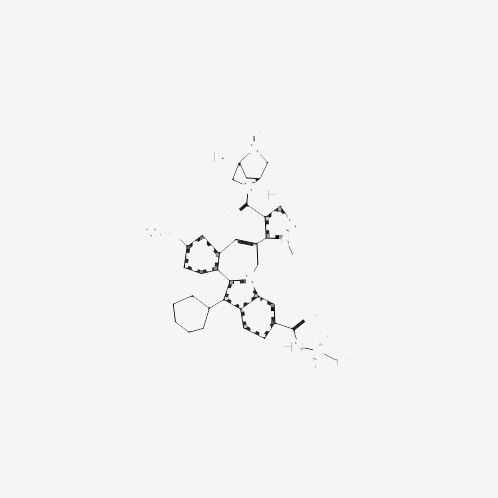 CCN1C[C@@H]2C[C@H]1CN2C(=O)c1cnn(C)c1C1=Cc2cc(OC)ccc2-c2c(C3CCCCC3)c3ccc(C(=O)NS(=O)(=O)C(C)C)cc3n2C1